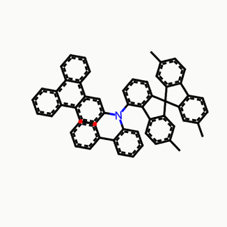 Cc1ccc2c(c1)C1(c3cc(C)ccc3-2)c2cc(C)ccc2-c2c(N(c3ccc4c5ccccc5c5ccccc5c4c3)c3ccccc3-c3ccccc3)cccc21